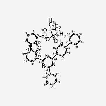 CC1(C)OB(c2cccc3c2oc2c(-c4nc(-c5ccccc5)nc(-c5ccc(-c6ccccc6)cc5)n4)cccc23)OC1(C)C